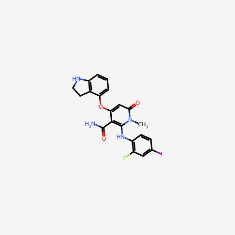 Cn1c(Nc2ccc(I)cc2F)c(C(N)=O)c(Oc2cccc3c2CCN3)cc1=O